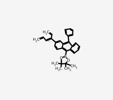 C=C/C=C(\C=C)c1ccc2c(B3OC(C)(C)C(C)(C)O3)c3ccccc3c(-c3ccccc3)c2c1